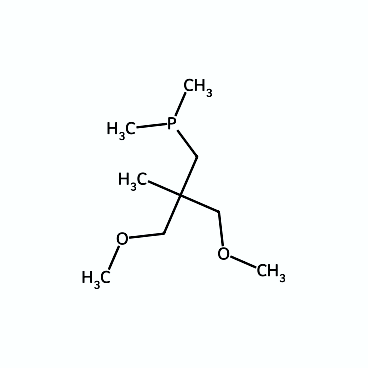 COCC(C)(COC)CP(C)C